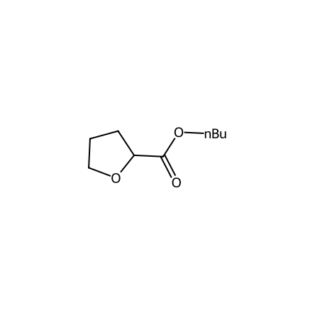 CCCCOC(=O)C1CCCO1